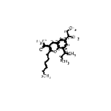 CCCCCCC1=C(C(C)=O)Cc2cc(C(C)CC)cc(C(C)CC)c2O1